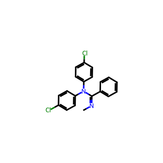 CN=C(c1ccccc1)N(c1ccc(Cl)cc1)c1ccc(Cl)cc1